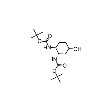 CC(C)(C)OC(=O)NC1CCC(O)C[C@@H]1NC(=O)OC(C)(C)C